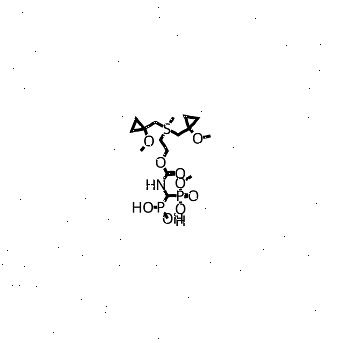 COC1(CS(C)(CCOC(=O)NC(P(O)O)P(=O)(O)OC)CC2(OC)CC2)CC1